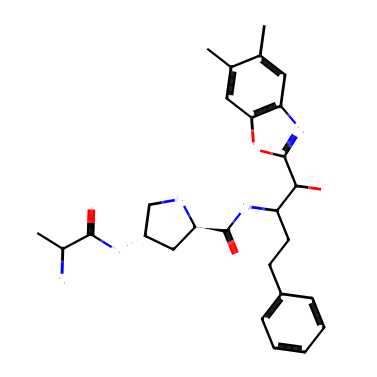 Cc1cc2nc(C(O)C(CCc3ccccc3)NC(=O)[C@H]3C[C@H](NC(=O)C(C)N)CN3)oc2cc1C